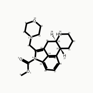 COC(=O)n1c(CN2CCOCC2)c2c3c(cccc31)[C@H]1CCCN[C@@H]1C2